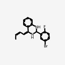 C/C=C\C=C1\NC(c2cc(Br)ccc2F)Nc2ccccc21